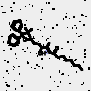 CCCCCCCC(=O)/C=C(\C)C(O)CCCO[Si](c1ccccc1)(c1ccccc1)C(C)(C)C